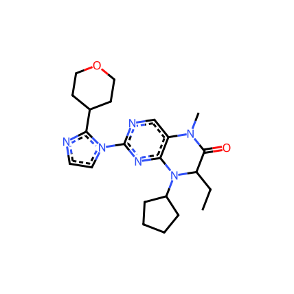 CCC1C(=O)N(C)c2cnc(-n3ccnc3C3CCOCC3)nc2N1C1CCCC1